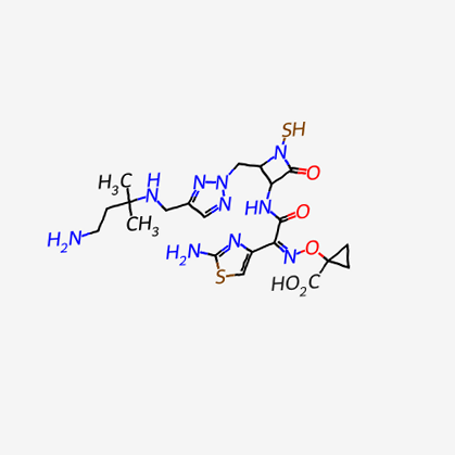 CC(C)(CCN)NCc1cnn(CC2C(NC(=O)/C(=N\OC3(C(=O)O)CC3)c3csc(N)n3)C(=O)N2S)n1